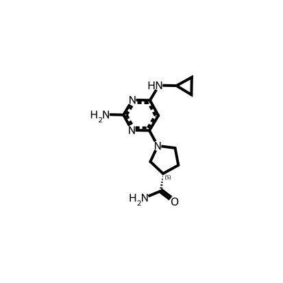 NC(=O)[C@H]1CCN(c2cc(NC3CC3)nc(N)n2)C1